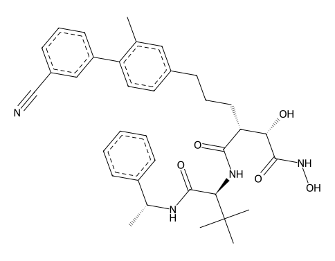 Cc1cc(CCC[C@@H](C(=O)N[C@H](C(=O)N[C@H](C)c2ccccc2)C(C)(C)C)[C@H](O)C(=O)NO)ccc1-c1cccc(C#N)c1